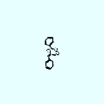 O=C/C(=C\c1ccccc1)OC(=O)c1ccccc1